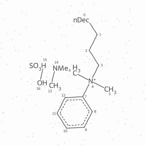 CCCCCCCCCCCCC[N+](C)(C)c1ccccc1.CNC.O=S(=O)(O)O